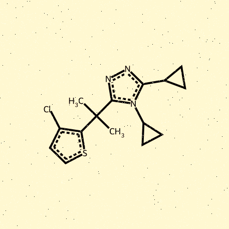 CC(C)(c1sccc1Cl)c1nnc(C2CC2)n1C1CC1